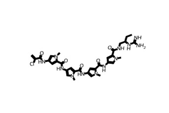 C=C(Cl)C(=O)Nc1cc(C(=O)Nc2cc(C(=O)Nc3cc(C(=O)Nc4cc(C(=O)NCC(CC)NC(=N)N)n(C)c4)n(C)c3)n(C)c2)n(C)c1